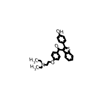 CCN(CC)CCOc1ccc(C(=O)c2c(-c3ccc(O)cc3)sc3ccccc23)cc1